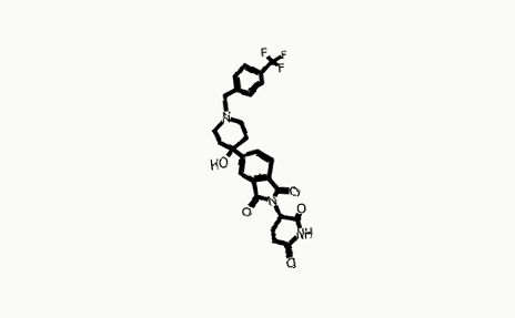 O=C1CCC(N2C(=O)c3ccc(C4(O)CCN(Cc5ccc(C(F)(F)F)cc5)CC4)cc3C2=O)C(=O)N1